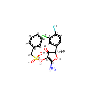 [2H][C@]1(c2ccc(F)c(Cl)c2)OC(N)=C(OS(=O)(=O)Cc2ccccc2)C1=O